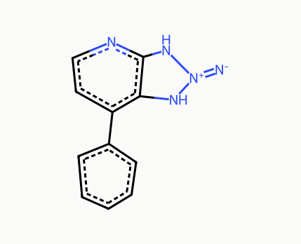 [N-]=[N+]1Nc2nccc(-c3ccccc3)c2N1